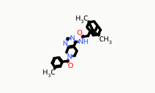 Cc1cccc(C(=O)N2CCc3c(ncnc3NC(=O)CC34CC5CC(C)(CC(C)(C5)C3)C4)C2)c1